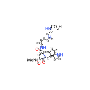 CNC(=O)c1cc(C(=O)NC2CC2CCN(C)CCNC(=O)O)cn(Cc2cccc3[nH]ccc23)c1=O